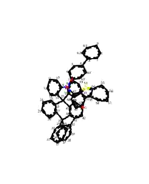 c1ccc(-c2ccc(N(c3ccccc3C3(c4ccccc4)c4ccccc4C4(c5ccccc5)c5ccccc5-c5cccc3c54)c3cccc4c3sc3ccccc34)cc2)cc1